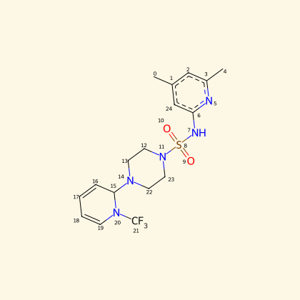 Cc1cc(C)nc(NS(=O)(=O)N2CCN(C3C=CC=CN3C(F)(F)F)CC2)c1